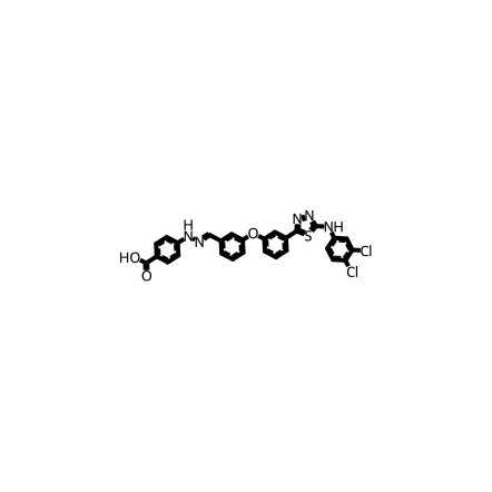 O=C(O)c1ccc(NN=Cc2cccc(Oc3cccc(-c4nnc(Nc5ccc(Cl)c(Cl)c5)s4)c3)c2)cc1